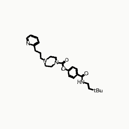 CC(C)(C)CCNC(=O)c1ccc(OC(=O)N2CCN(CCCc3ccccn3)CC2)cc1